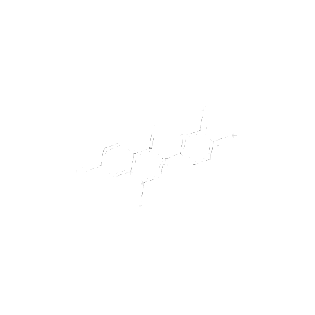 O=c1c2ccc(O)cc2c(I)cn1-c1ccc(O)c(F)c1